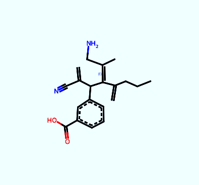 C=C(CCC)/C(=C(\C)CN)C(C(=C)C#N)c1cccc(C(=O)O)c1